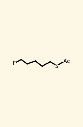 CC(=O)SCCCCCF